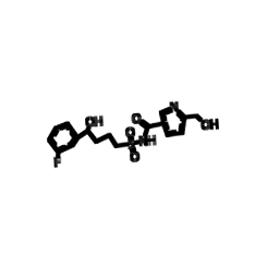 O=C(NS(=O)(=O)CCCC(O)c1cccc(F)c1)c1ccc(CO)nc1